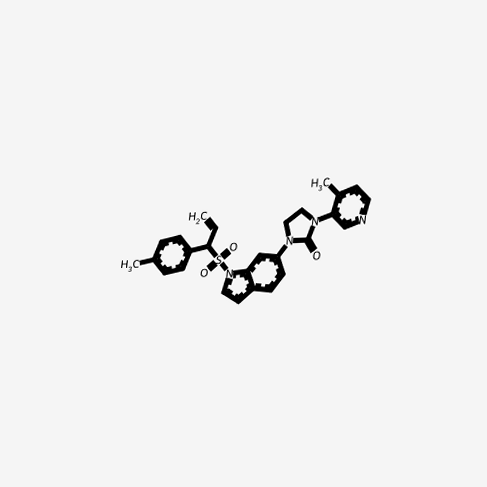 C=CC(c1ccc(C)cc1)S(=O)(=O)n1ccc2ccc(N3CCN(c4cnccc4C)C3=O)cc21